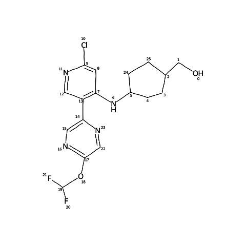 OCC1CCC(Nc2cc(Cl)ncc2-c2cnc(OC(F)F)cn2)CC1